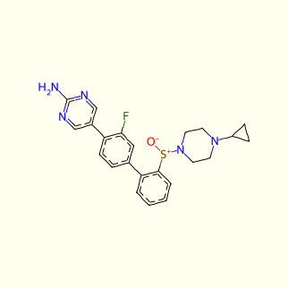 Nc1ncc(-c2ccc(-c3ccccc3[S+]([O-])N3CCN(C4CC4)CC3)cc2F)cn1